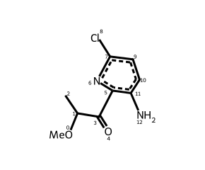 COC(C)C(=O)c1nc(Cl)ccc1N